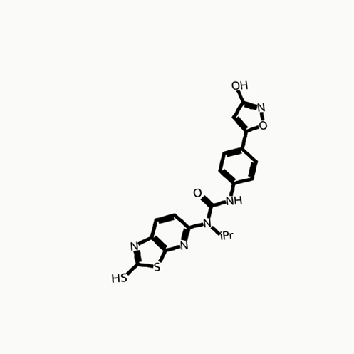 CC(C)N(C(=O)Nc1ccc(-c2cc(O)no2)cc1)c1ccc2nc(S)sc2n1